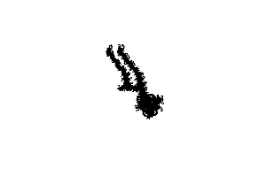 CCCCCCCCCCCCCN(CC)CCCN(CCCCCCCCCCCCC)CCCOC1OC(CC)C(C)C(OC(C)=O)C1OC(C)=O